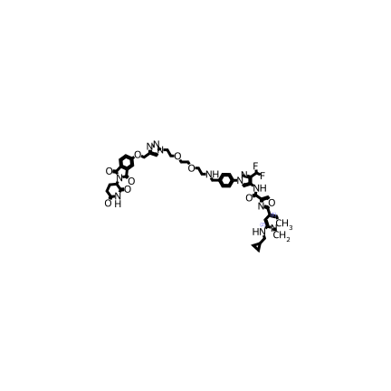 C=N/C(=C\C(=C/C)c1nc(C(=O)Nc2cn(-c3ccc(CNCCOCCOCCn4cc(COc5ccc6c(c5)C(=O)N(C5CCC(=O)NC5=O)C6=O)nn4)cc3)nc2C(F)F)co1)NCC1CC1